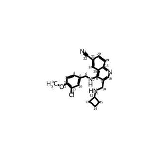 COc1ccc(CNc2c(CNC3CCC3)cnc3ccc(C#N)cc23)cc1Cl